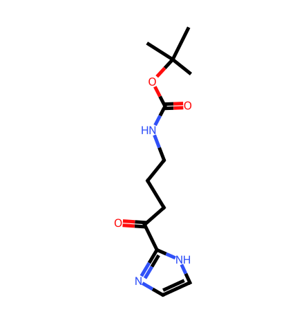 CC(C)(C)OC(=O)NCCCC(=O)c1ncc[nH]1